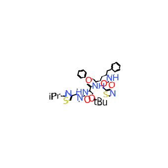 C=C(NC(CCC(Cc1ccccc1)NC(=O)OCc1cncs1)COc1ccccc1)C(COC(C)(C)C)NC(=O)N(C)Cc1csc(C(C)C)n1